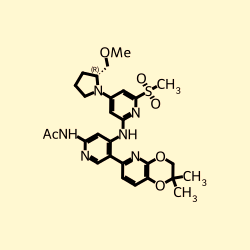 COC[C@H]1CCCN1c1cc(Nc2cc(NC(C)=O)ncc2-c2ccc3c(n2)OCC(C)(C)O3)nc(S(C)(=O)=O)c1